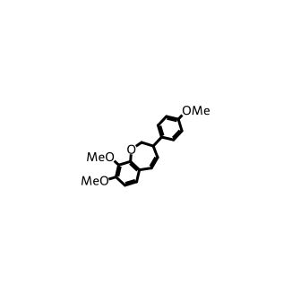 COc1ccc(C2C=Cc3ccc(OC)c(OC)c3OC2)cc1